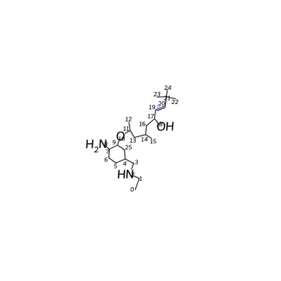 CCNCC1CCC(N)C(OC(C)CC(C)CC(O)/C=C/C(C)(C)C)C1